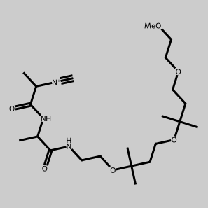 C#[N+]C(C)C(=O)NC(C)C(=O)NCCOC(C)(C)CCOC(C)(C)CCOCCOC